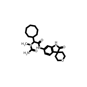 CN(C(N)=O)C(C(=O)Nc1ccc2c(c1)NC(=O)C21CCOCC1)C1CCCCCCC1